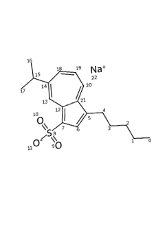 CCCCCc1cc(S(=O)(=O)[O-])c2cc(C(C)C)cccc1-2.[Na+]